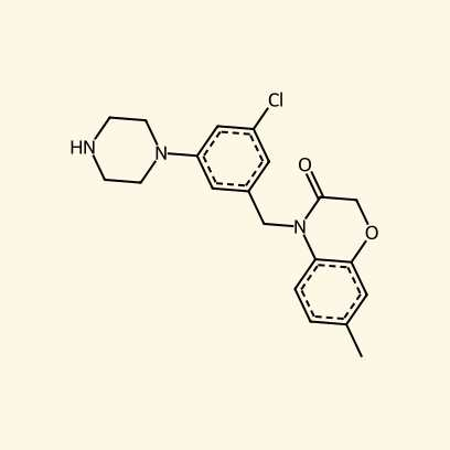 Cc1ccc2c(c1)OCC(=O)N2Cc1cc(Cl)cc(N2CCNCC2)c1